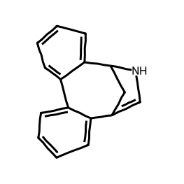 C1=C2CC(N1)c1ccccc1-c1ccccc12